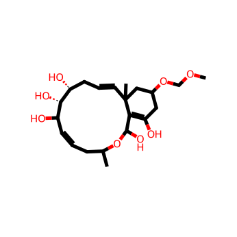 COCOC1CC(O)=C2C(O)OC(C)C/C=C\C(O)[C@H](O)[C@H](O)C/C=C/C2(C)C1